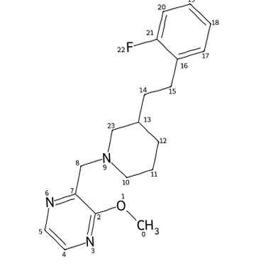 COc1nccnc1CN1CCCC(CCc2ccccc2F)C1